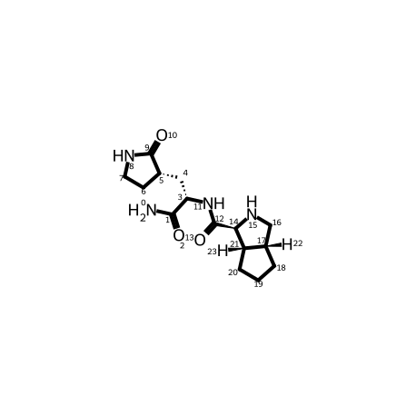 NC(=O)[C@H](C[C@@H]1CCNC1=O)NC(=O)[C@H]1NC[C@@H]2CCC[C@@H]21